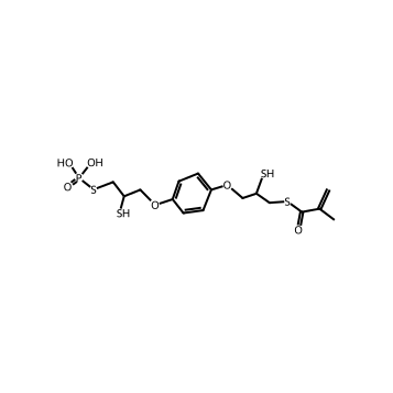 C=C(C)C(=O)SCC(S)COc1ccc(OCC(S)CSP(=O)(O)O)cc1